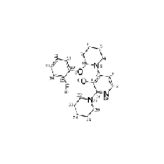 [O]c1c(N2CCCCC2Oc2ccccc2F)ccnc1N1CCCCC1